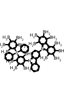 Bc1c(B)c(B)c(S(c2ccccc2)(c2ccccc2)c2c(B)c(B)c(B)c(-n3c4ccccc4c4cc(-n5c6c(B)c(B)c(B)c(B)c6c6c(B)c(B)c(B)c(B)c65)ccc43)c2B)c(B)c1B